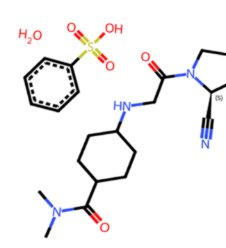 CN(C)C(=O)C1CCC(NCC(=O)N2CCC[C@H]2C#N)CC1.O.O=S(=O)(O)c1ccccc1